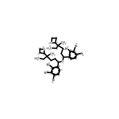 CCC(C)(CCC(OC(CCC(C)(CC)C1CCO1)c1ccc(Br)c(Br)c1Br)c1ccc(Br)c(Br)c1Br)C1CCO1